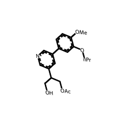 CCCOc1cc(-c2cncc(C(CO)COC(C)=O)c2)ccc1OC